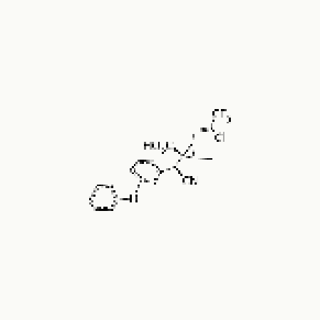 CC1(C)[C@@H](C=C(Cl)C(F)(F)F)[C@@]1(C(=O)O)[C@@H](C#N)c1cccc(Oc2ccccc2)c1